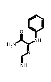 N=C/N=C(/Nc1ccccc1)C(N)=O